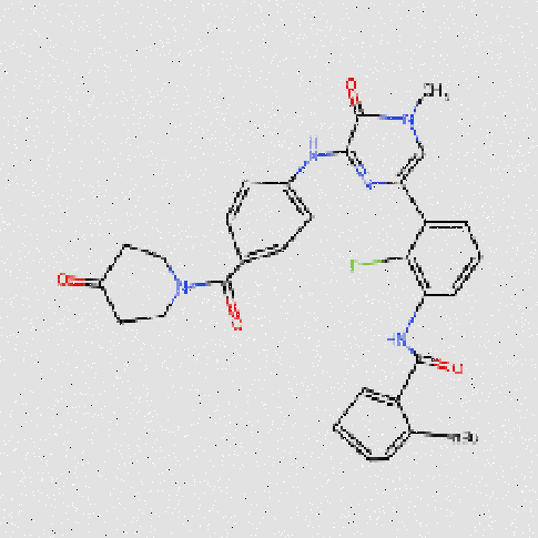 CCCCc1ccccc1C(=O)Nc1cccc(-c2cn(C)c(=O)c(Nc3ccc(C(=O)N4CCC(=O)CC4)cc3)n2)c1F